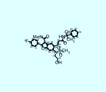 CNC(=O)c1c(-c2ccc(F)cc2)oc2cc(N(CCO)S(C)(=O)=O)c(/C=C/C(=O)NC(C)(C)c3ccccc3)cc12